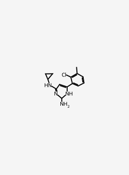 Cc1cccc(C2=CC(NC3CC3)=NC(N)N2)c1Cl